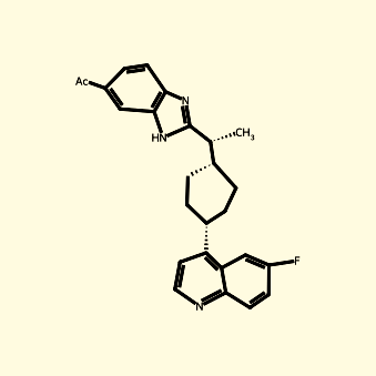 CC(=O)c1ccc2nc([C@H](C)[C@H]3CC[C@@H](c4ccnc5ccc(F)cc54)CC3)[nH]c2c1